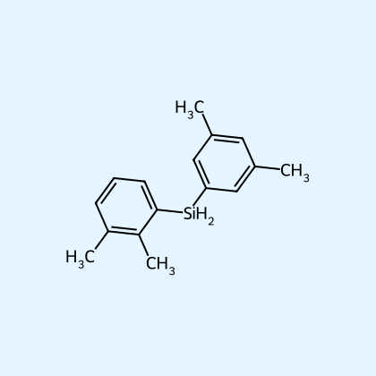 Cc1cc(C)cc([SiH2]c2cccc(C)c2C)c1